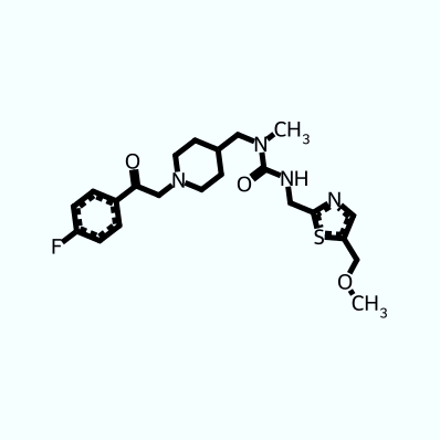 COCc1cnc(CNC(=O)N(C)CC2CCN(CC(=O)c3ccc(F)cc3)CC2)s1